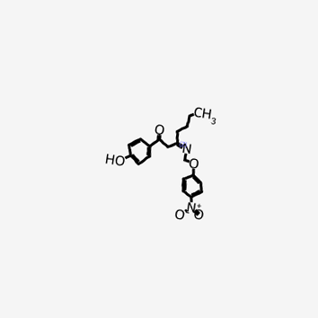 CCCC/C(CC(=O)c1ccc(O)cc1)=N/COc1ccc([N+](=O)[O-])cc1